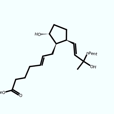 CCCCCC(C)(O)C=C[C@@H]1CC[C@@H](O)[C@@H]1CC=CCCCC(=O)OC